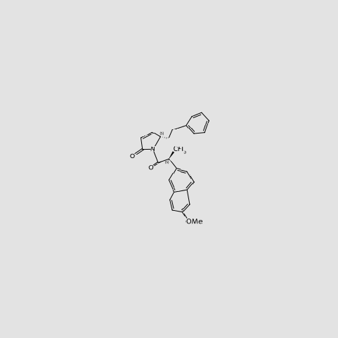 COc1ccc2cc([C@H](C)C(=O)N3C(=O)C=C[C@@H]3CCc3ccccc3)ccc2c1